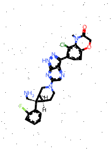 CN1C(=O)COc2ccc(-c3n[nH]c4nc(N5CC[C@@H]6[C@H](C5)[C@@]6(CN)c5ccccc5F)cnc34)c(Cl)c21